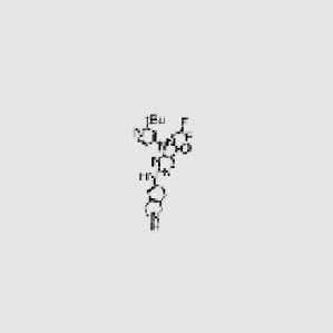 CC(C)(C)c1cc(-n2c3nc(Nc4ccc5c(c4)CCNC5)ncc3c(=O)n2CC(F)F)ccn1